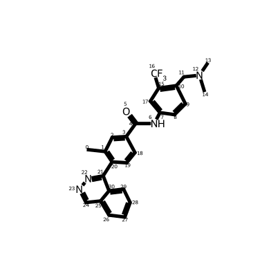 Cc1cc(C(=O)Nc2ccc(CN(C)C)c(C(F)(F)F)c2)ccc1-c1nncc2ccccc12